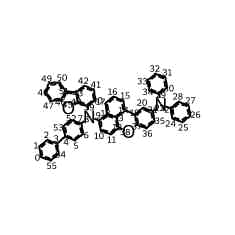 c1ccc(-c2ccc(N(c3ccc4c5c(cccc35)-c3cc(N(c5ccccc5)c5ccccc5)ccc3O4)c3cccc4c3oc3ccccc34)cc2)cc1